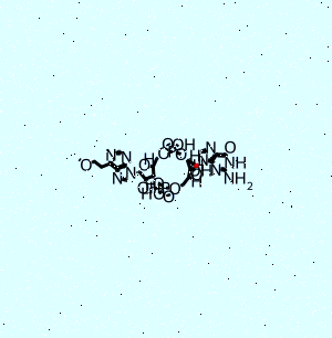 COCCc1ncnc2c1ncn2[C@@H]1O[C@@H]2COP(=O)(O)O[C@@H]3[C@H](O)[C@@H](COP(=O)(O)O[C@H]2[C@H]1O)O[C@H]3n1cnc2c(=O)[nH]c(N)nc21